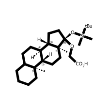 CC(C)(C)[Si](C)(C)O[C@]1(OCC(=O)O)CC[C@H]2[C@@H]3CCC4CCCC[C@]4(C)[C@H]3CC[C@@]21C